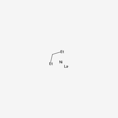 CCCCC.[La].[Ni]